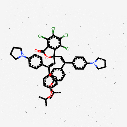 CC(C)Oc1ccc(C(=CC2(C=C(c3ccc(OC(C)C)cc3)c3ccc(N4CCCC4)cc3)OC(=O)c3c(Cl)c(Cl)c(Cl)c(Cl)c32)c2ccc(N3CCCC3)cc2)cc1